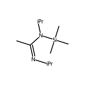 CC(=NC(C)C)N(C(C)C)[Si](C)(C)C